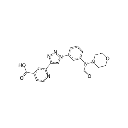 O=CN(c1cccc(-n2cc(-c3cc(C(=O)O)ccn3)nn2)c1)N1CCOCC1